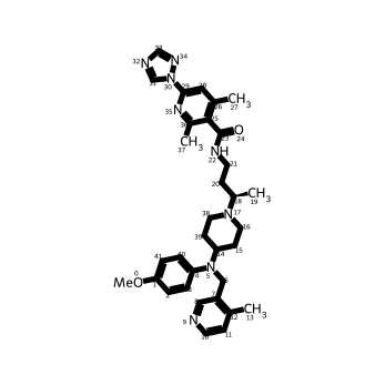 COc1ccc(N(Cc2cnccc2C)C2CCN([C@H](C)CCNC(=O)c3c(C)cc(-n4cncn4)nc3C)CC2)cc1